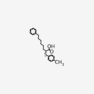 Cc1ccc(SC(CCCCCCc2ccccc2)C(=O)O)cc1